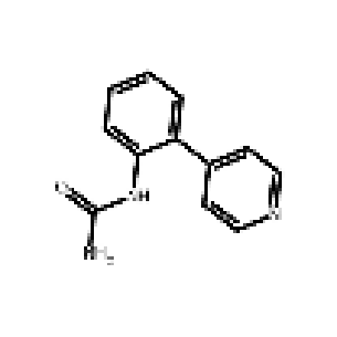 NC(=O)Nc1ccccc1-c1ccncc1